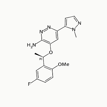 COc1ccc(F)cc1[C@@H](C)Oc1cc(-c2ccnn2C)nnc1N